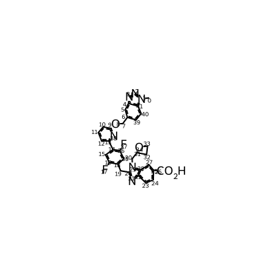 Cn1nnc2cc(COc3cccc(-c4cc(F)c(Cc5nc6ccc(C(=O)O)cc6n5CC5CCO5)cc4F)n3)ccc21